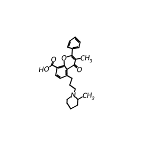 Cc1c(-c2ccccc2)oc2c(C(=O)O)ccc(CCCN3CCCCC3C)c2c1=O